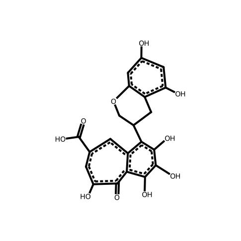 O=C(O)c1cc(O)c(=O)c2c(O)c(O)c(O)c(C3COc4cc(O)cc(O)c4C3)c2c1